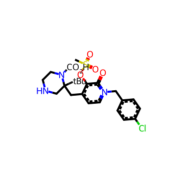 CC(C)(C)C1(Cc2ccn(Cc3ccc(Cl)cc3)c(=O)c2OS(C)(=O)=O)CNCCN1C(=O)O